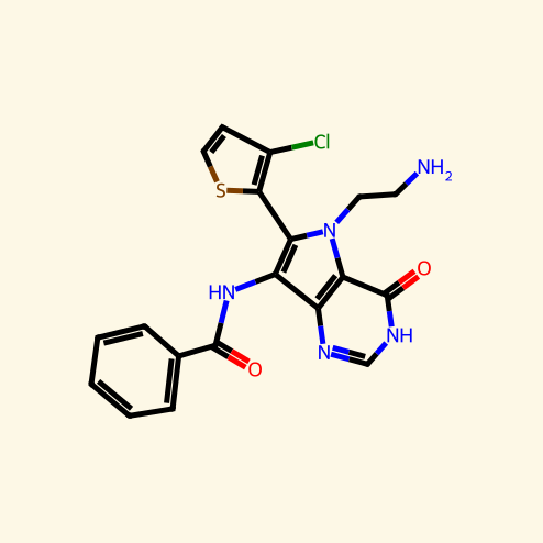 NCCn1c(-c2sccc2Cl)c(NC(=O)c2ccccc2)c2nc[nH]c(=O)c21